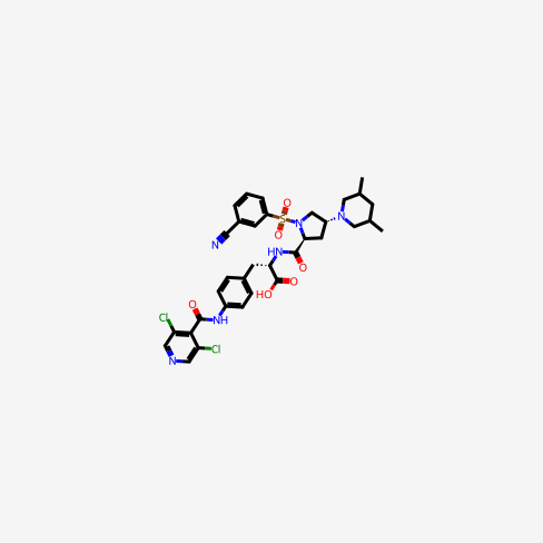 CC1CC(C)CN([C@@H]2C[C@@H](C(=O)N[C@@H](Cc3ccc(NC(=O)c4c(Cl)cncc4Cl)cc3)C(=O)O)N(S(=O)(=O)c3cccc(C#N)c3)C2)C1